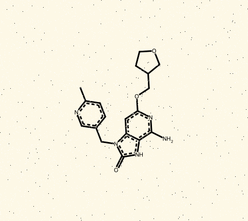 Cc1ccc(Cn2c(=O)[nH]c3c(N)nc(OCC4CCOC4)cc32)cn1